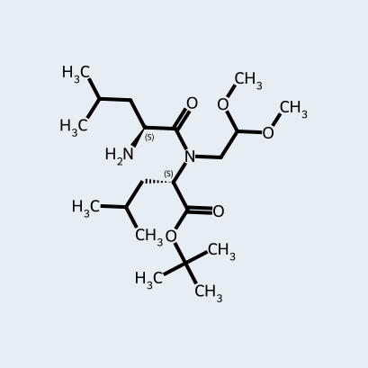 COC(CN(C(=O)[C@@H](N)CC(C)C)[C@@H](CC(C)C)C(=O)OC(C)(C)C)OC